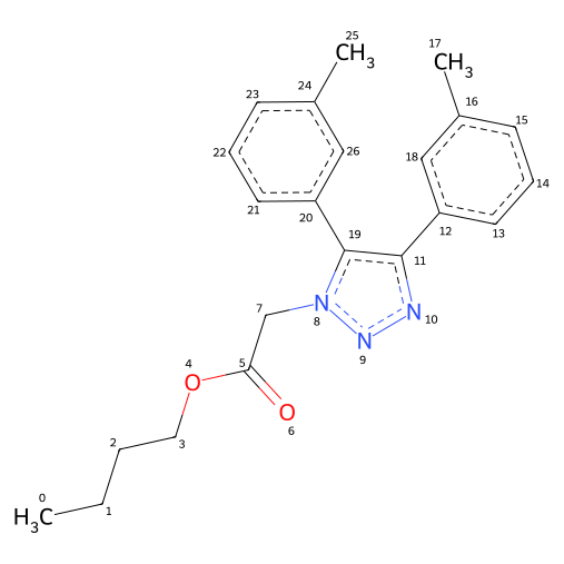 CCCCOC(=O)Cn1nnc(-c2cccc(C)c2)c1-c1cccc(C)c1